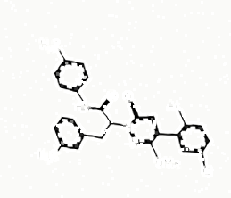 COc1nn(C(Cc2cccc(C)c2)C(=O)Nc2ccc(C)cc2)c(=O)cc1-c1cc(Cl)ccc1C(C)=O